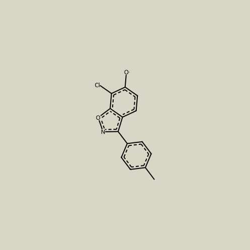 Cc1ccc(-c2noc3c(Cl)c([O])ccc23)cc1